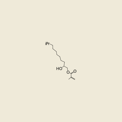 C=C(C)C(=O)OCC(O)CCCCCCCC(C)C